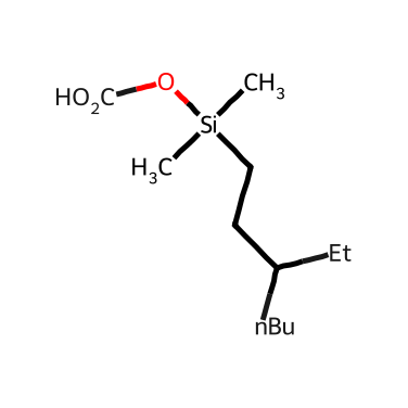 CCCCC(CC)CC[Si](C)(C)OC(=O)O